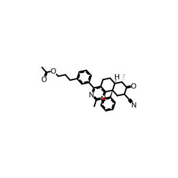 CC(=O)OCCCc1cccc(-c2nc(C)nc3c2CC[C@H]2[C@H](C)C(=O)C(C#N)C[C@]32c2ccccc2)c1